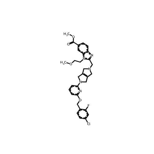 COCCn1c(CN2CC3=C(C2)CN(c2cccc(OCc4ccc(Cl)cc4F)n2)C3)nc2ccc(C(=O)OC)cc21